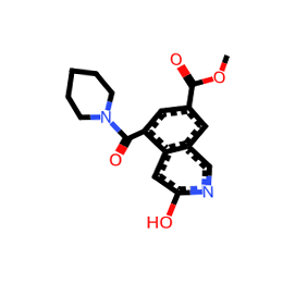 COC(=O)c1cc(C(=O)N2CCCCC2)c2cc(O)ncc2c1